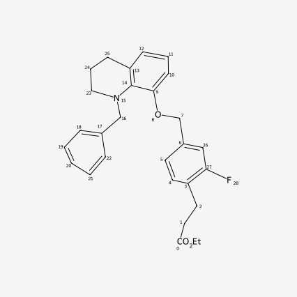 CCOC(=O)CCc1ccc(COc2cccc3c2N(Cc2ccccc2)CCC3)cc1F